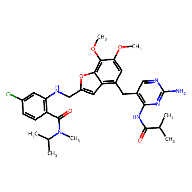 COc1cc(Cc2cnc(N)nc2NC(=O)C(C)C)c2cc(CNc3cc(Cl)ccc3C(=O)N(C)C(C)C)oc2c1OC